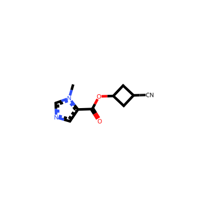 Cn1cncc1C(=O)OC1CC(C#N)C1